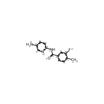 Cc1ccc(C(=O)Nc2ccc(N)cn2)cc1F